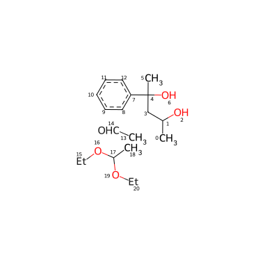 CC(O)CC(C)(O)c1ccccc1.CC=O.CCOC(C)OCC